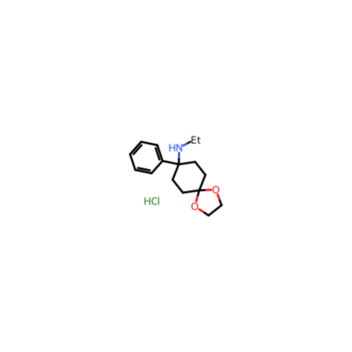 CCNC1(c2ccccc2)CCC2(CC1)OCCO2.Cl